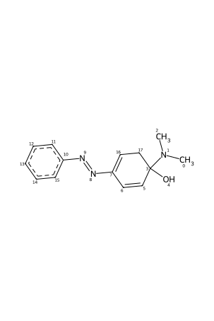 CN(C)C1(O)C=CC(N=Nc2ccccc2)=CC1